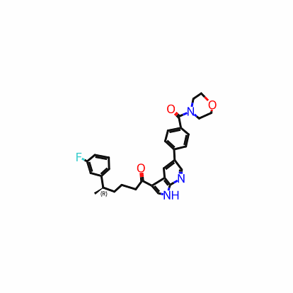 C[C@H](CCCC(=O)c1c[nH]c2ncc(-c3ccc(C(=O)N4CCOCC4)cc3)cc12)c1cccc(F)c1